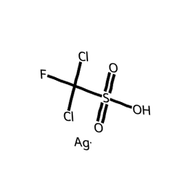 O=S(=O)(O)C(F)(Cl)Cl.[Ag]